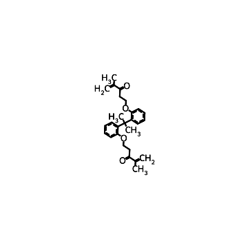 C=C(C)C(=O)CCOc1ccccc1C(C)(C)c1ccccc1OCCC(=O)C(=C)C